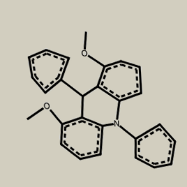 COc1cccc2c1C(c1ccccc1)c1c(OC)cccc1N2c1ccccc1